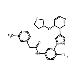 Cc1ccc(NC(=O)Cc2cccc(C(F)(F)F)c2)cc1-n1cc(C2C=NC=CC2OC2CCOC2)cn1